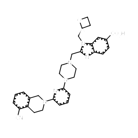 N#Cc1cccc2c1CCN(c1cccc(N3CCN(Cc4nc5ccc(C(=O)O)cc5n4C[C@@H]4CCO4)CC3)n1)C2